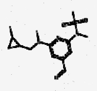 CC1CC1CN(C)c1cc(C=O)cc(N(C)S(C)(=O)=O)n1